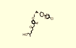 CC(C=CCC(=O)Cc1ccc(OCC[C@@H]2C[C@@H]2C2CCN(c3ncc(Cl)cn3)CC2)cc1F)CO